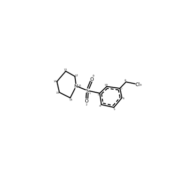 O=S(=O)(c1cccc(CCl)c1)N1CCCCC1